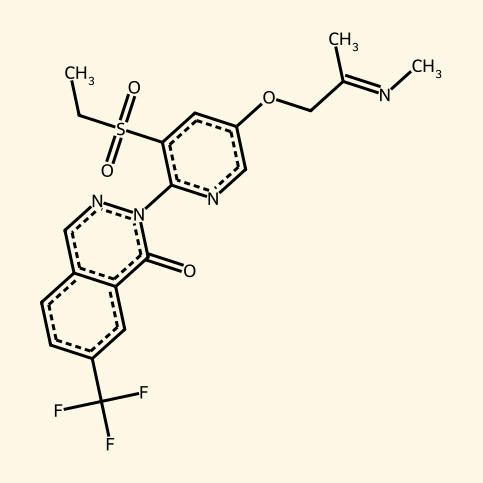 CCS(=O)(=O)c1cc(OC/C(C)=N/C)cnc1-n1ncc2ccc(C(F)(F)F)cc2c1=O